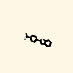 CC(=O)c1ccc(-c2cc3ccccc3s2)cc1